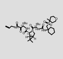 C=CCNC(=O)C(=O)[C@H](CCCC)NC(=O)[C@@H]1[C@@H]2[C@H](CN1C(=O)[C@@H](NC(=O)NC1(CS(=O)(=O)C3(C)CCOCC3)CCCCC1)C(C)(C)C)C2(C)C